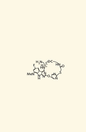 CNc1cc(F)cc2c1[nH]c1nc3nc(c12)N[C@@H](CN)COCCCNC(=O)CSc1ncc(cn1)O3